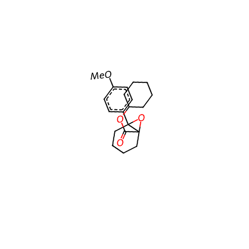 COc1ccc(C23CCCCC2(C(=O)OC2CCCCC2)O3)cc1